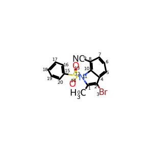 Cc1c(Br)c2cccc(C#N)c2n1S(=O)(=O)c1ccccc1